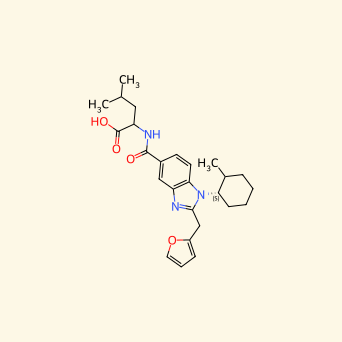 CC(C)CC(NC(=O)c1ccc2c(c1)nc(Cc1ccco1)n2[C@H]1CCCCC1C)C(=O)O